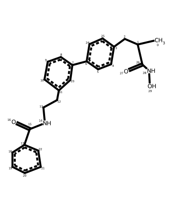 CC(Cc1ccc(-c2cccc(CCNC(=O)c3ccccc3)c2)cc1)C(=O)NO